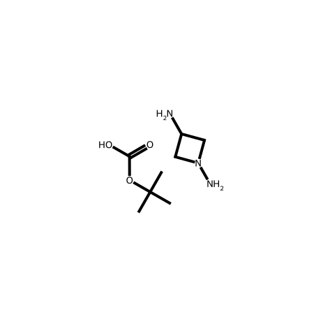 CC(C)(C)OC(=O)O.NC1CN(N)C1